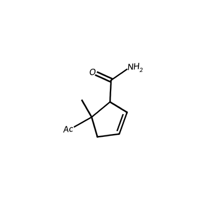 CC(=O)C1(C)CC=CC1C(N)=O